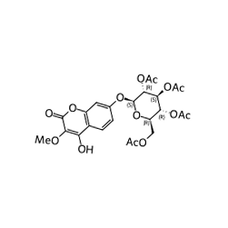 COc1c(O)c2ccc(O[C@@H]3O[C@H](COC(C)=O)[C@@H](OC(C)=O)[C@H](OC(C)=O)[C@H]3OC(C)=O)cc2oc1=O